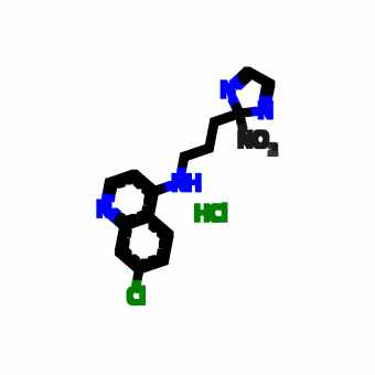 Cl.O=[N+]([O-])C1(CCCNc2ccnc3cc(Cl)ccc23)N=CC=N1